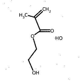 C=C(C)C(=O)OCCO.[OH]